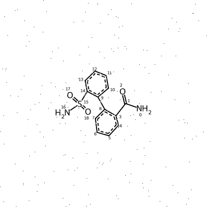 NC(=O)c1[c]cccc1-c1ccccc1S(N)(=O)=O